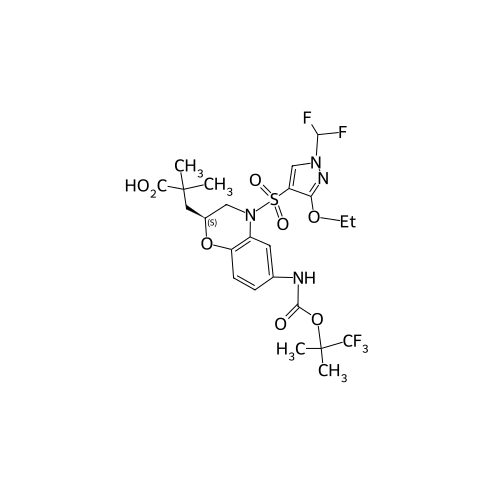 CCOc1nn(C(F)F)cc1S(=O)(=O)N1C[C@H](CC(C)(C)C(=O)O)Oc2ccc(NC(=O)OC(C)(C)C(F)(F)F)cc21